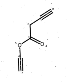 C#CCC(=O)OC#C